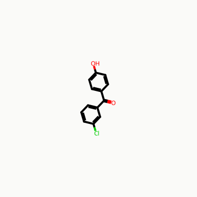 O=C(c1ccc(O)cc1)c1cccc(Cl)c1